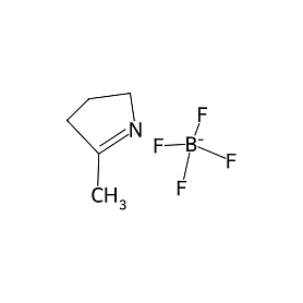 CC1=NCCC1.F[B-](F)(F)F